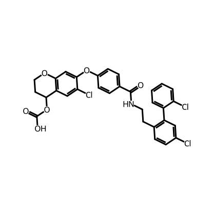 O=C(O)OC1CCOc2cc(Oc3ccc(C(=O)NCCc4ccc(Cl)cc4-c4ccccc4Cl)cc3)c(Cl)cc21